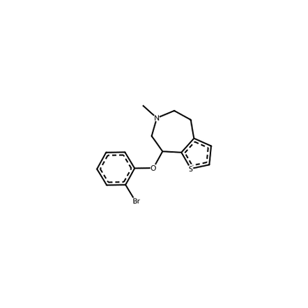 CN1CCc2ccsc2C(Oc2ccccc2Br)C1